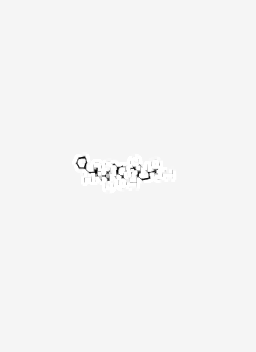 O=C(Cc1ccccc1)NC1C(=O)N2C(C(=O)O)=C(COC(=O)c3cccc(C(=O)O)n3)CSC12